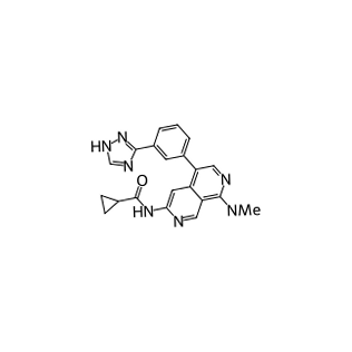 CNc1ncc(-c2cccc(-c3nc[nH]n3)c2)c2cc(NC(=O)C3CC3)ncc12